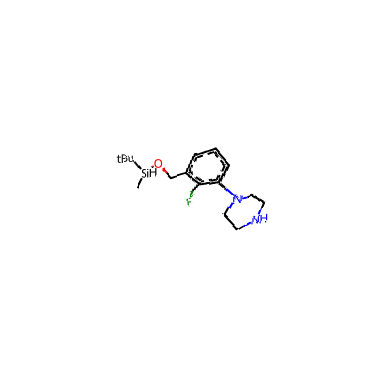 C[SiH](OCc1cccc(N2CCNCC2)c1F)C(C)(C)C